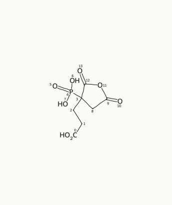 O=C(O)CCC1(P(=O)(O)O)CC(=O)OC1=O